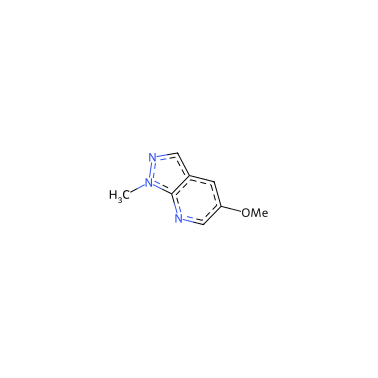 COc1cnc2c(cnn2C)c1